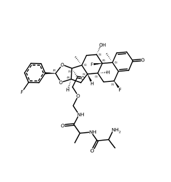 CC(N)C(=O)NC(C)C(=O)NCOCC(=O)[C@@]12O[C@H](c3cccc(F)c3)O[C@@H]1C[C@H]1[C@@H]3C[C@H](F)C4=CC(=O)C=C[C@]4(C)[C@@]3(F)[C@@H](O)C[C@@]12C